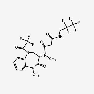 CN1C(=O)[C@@H](N(C)C(=O)CC(=O)NCC(F)(F)C(F)(F)F)CN(C(=O)C(F)(F)F)c2ccccc21